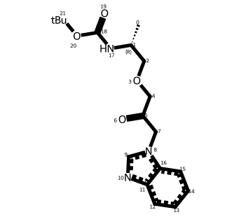 C[C@H](COCC(=O)Cn1cnc2ccccc21)NC(=O)OC(C)(C)C